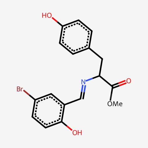 COC(=O)C(Cc1ccc(O)cc1)N=Cc1cc(Br)ccc1O